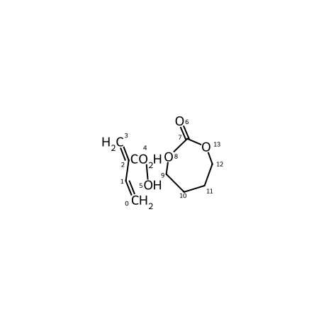 C=CC=C.O=C(O)O.O=C1OCCCCO1